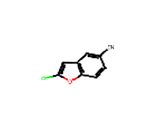 N#Cc1ccc2oc(Cl)cc2c1